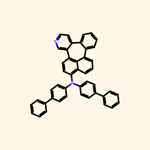 c1ccc(-c2ccc(N(c3ccc(-c4ccccc4)cc3)c3ccc4c5c(cccc35)-c3ccccc3-c3ccncc3-4)cc2)cc1